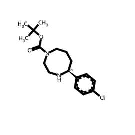 CC(C)(C)OC(=O)N1CCC[C@@H](c2ccc(Cl)cc2)NCC1